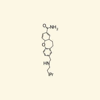 CC(C)CCNCc1ccc2c(c1)CCC1C=C(C(N)=O)C=CC1O2